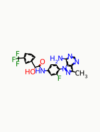 Cc1nn(-c2ccc(NC(=O)[C@H](O)c3cccc(C(F)(F)F)c3)cc2F)c2c(N)ncnc12